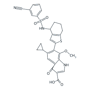 COc1c(-c2cc3c(s2)CCCC3NS(=O)(=O)c2cccc(C#N)c2)c(C2CC2)cc2c(=O)c(C(=O)O)c[nH]c12